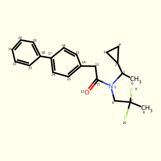 CC(C1CC1)N(CC(C)(F)F)C(=O)Cc1ccc(-c2ccccc2)cc1